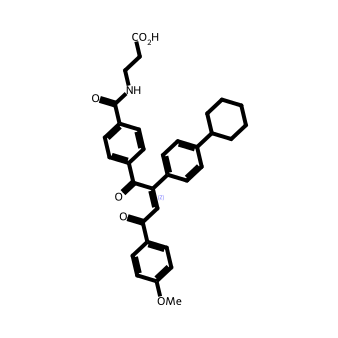 COc1ccc(C(=O)/C=C(\C(=O)c2ccc(C(=O)NCCC(=O)O)cc2)c2ccc(C3CCCCC3)cc2)cc1